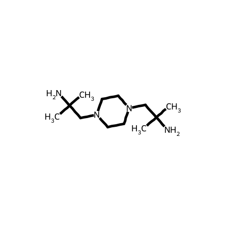 CC(C)(N)CN1CCN(CC(C)(C)N)CC1